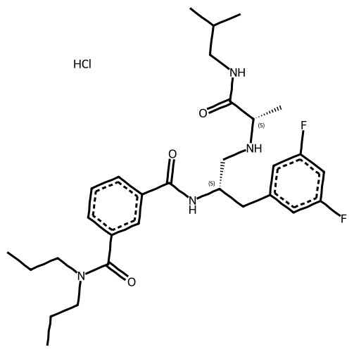 CCCN(CCC)C(=O)c1cccc(C(=O)N[C@H](CN[C@@H](C)C(=O)NCC(C)C)Cc2cc(F)cc(F)c2)c1.Cl